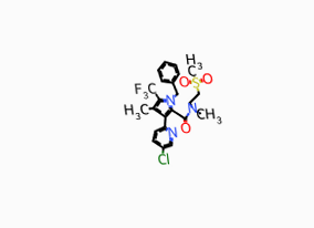 Cc1c(-c2ccc(Cl)cn2)c(C(=O)N(C)CCS(C)(=O)=O)n(Cc2ccccc2)c1C(F)(F)F